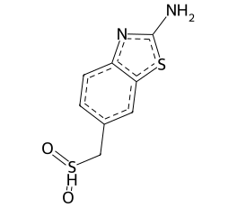 Nc1nc2ccc(C[SH](=O)=O)cc2s1